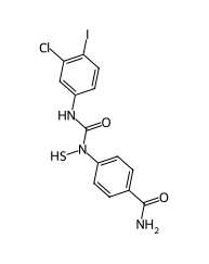 NC(=O)c1ccc(N(S)C(=O)Nc2ccc(I)c(Cl)c2)cc1